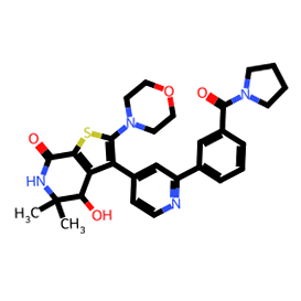 CC1(C)NC(=O)c2sc(N3CCOCC3)c(-c3ccnc(-c4cccc(C(=O)N5CCCC5)c4)c3)c2C1O